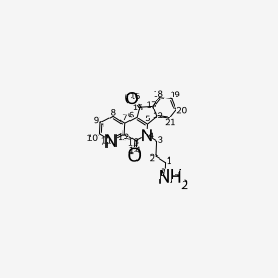 NCCCn1c2c(c3cccnc3c1=O)C(=O)c1ccccc1-2